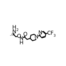 C[C@H](N)CONC(=O)CC1CCN(c2ccc(C(F)(F)F)cn2)CC1